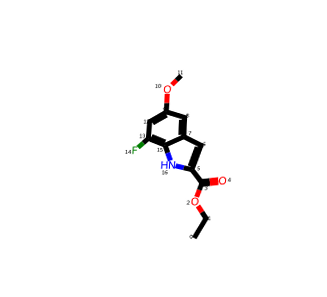 CCOC(=O)c1cc2cc(OC)cc(F)c2[nH]1